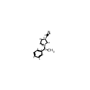 C[C@@H](c1ccccc1)N1CC[C@@H](C#N)C1